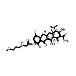 COCCCNCC(=O)Nc1cc(F)c2c(c1O)C(=O)C1=C(O)[C@]3(O)C(=O)C(C(N)=O)=C(O)[C@@H](N(C)C)[C@@H]3C[C@@H]1C2